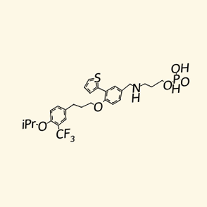 CC(C)Oc1ccc(CCCOc2ccc(CNCCCO[PH](=O)O)cc2-c2cccs2)cc1C(F)(F)F